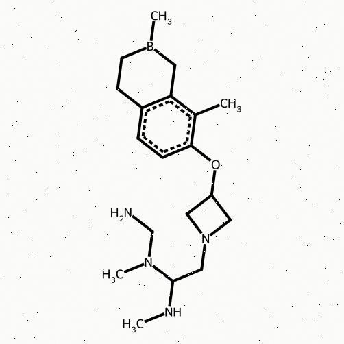 CNC(CN1CC(Oc2ccc3c(c2C)CB(C)CC3)C1)N(C)CN